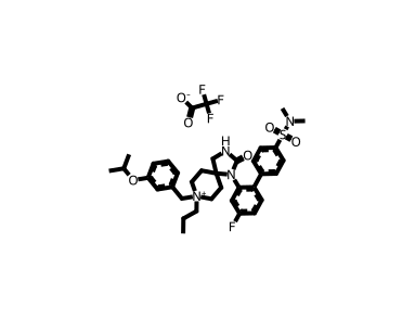 CCC[N+]1(Cc2cccc(OC(C)C)c2)CCC2(CC1)CNC(=O)N2c1cc(F)ccc1-c1ccc(S(=O)(=O)N(C)C)cc1.O=C([O-])C(F)(F)F